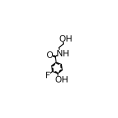 O=C(NCCO)c1ccc(O)c(F)c1